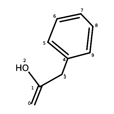 C=C(O)[CH]c1ccccc1